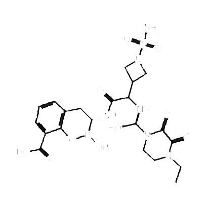 CCN1CCN(C(O)NC(C(=O)N[C@H]2Cc3cccc(C(=O)O)c3OB2O)C2CN(S(N)(=O)=O)C2)C(=O)C1=O